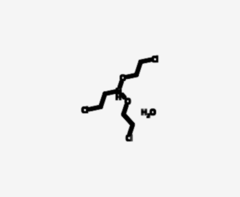 ClCCO[SiH](CCCl)OCCCl.O